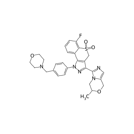 CC1Cn2c(cnc2-c2nn(-c3ccc(CN4CCOCC4)cc3)c3c2CS(=O)(=O)c2c(F)cccc2-3)CO1